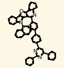 c1ccc(-c2cc(-c3ccc(-c4ccc(-c5nc6ccccc6c6oc7c8ccccc8n(-c8cccc9ccccc89)c7c56)cc4)cc3)nc(-c3ccccc3)n2)cc1